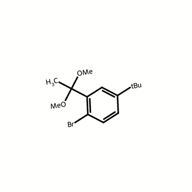 COC(C)(OC)c1cc(C(C)(C)C)ccc1Br